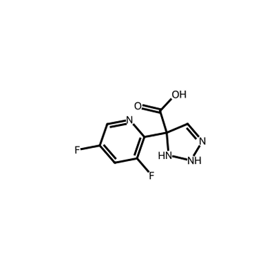 O=C(O)C1(c2ncc(F)cc2F)C=NNN1